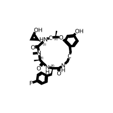 C[C@@H]1CN[C@@H](C2CC2O)C(=O)N(C)[C@H](C)C(=O)N[C@H](Cc2ccc(F)cc2)C(=O)NCCCc2ccc(O)cc2O1